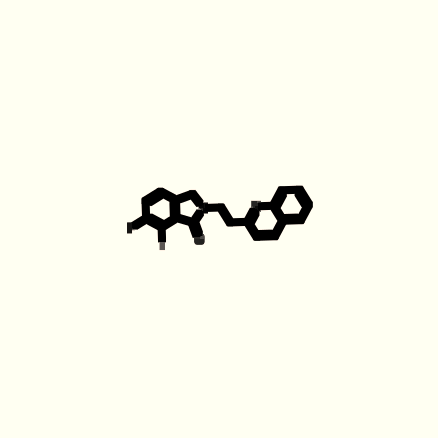 O=C1c2c(ccc(F)c2I)CN1CCc1ccc2ccccc2n1